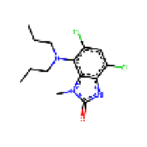 CCCN(CCC)c1c(Cl)cc(Cl)c2[nH]c(=O)n(C)c12